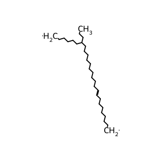 [CH2]CCCCCCC/C=C/CCCCCCCCCCC(CCC)CCCCC[CH2]